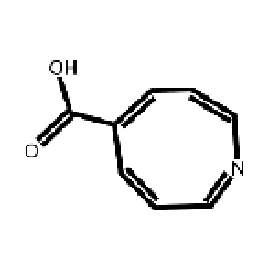 O=C(O)C1=CC=CN=CC=C1